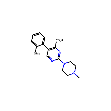 COc1ccccc1-c1cnc(N2CCN(C)CC2)nc1C(=O)O